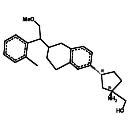 COCC(c1ccccc1C)C1CCc2cc([C@@H]3CC[C@](N)(CO)C3)ccc2C1